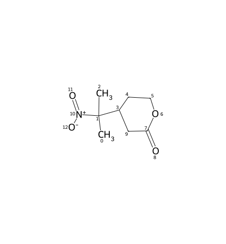 CC(C)(C1CCOC(=O)C1)[N+](=O)[O-]